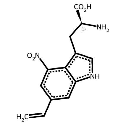 C=Cc1cc([N+](=O)[O-])c2c(C[C@H](N)C(=O)O)c[nH]c2c1